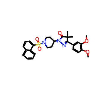 COc1ccc(C2=NN(C3CCN(S(=O)(=O)c4cccc5ccccc45)CC3)C(=O)C2(C)C)cc1OC